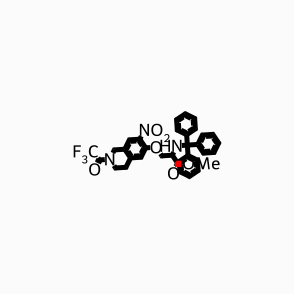 COC(=O)C(COc1cc2c(cc1[N+](=O)[O-])CN(C(=O)C(F)(F)F)CC2)NC(c1ccccc1)(c1ccccc1)c1ccccc1